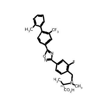 Cc1ccccc1-c1ccc(-c2nc(-c3ccc(CN(C)[C@@H](C)C(=O)O)c(F)c3)no2)cc1C(F)(F)F